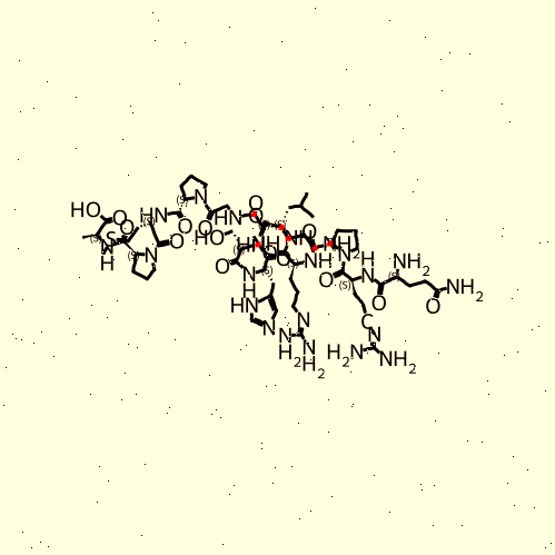 CSCC[C@H](NC(=O)[C@@H]1CCCN1C(=O)CNC(=O)[C@H](CCCCN)NC(=O)[C@H](Cc1cnc[nH]1)NC(=O)[C@H](CO)NC(=O)[C@H](CC(C)C)NC(=O)[C@H](CCCN=C(N)N)NC(=O)[C@@H]1CCCN1C(=O)[C@H](CCCN=C(N)N)NC(=O)[C@@H](N)CCC(N)=O)C(=O)N1CCC[C@H]1C(=O)N[C@@H](C)C(=O)O